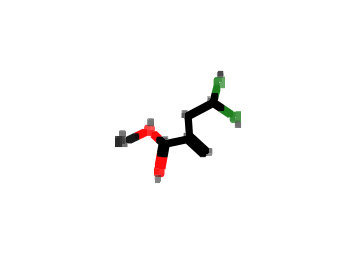 C=C(CC(Cl)Cl)C(=O)OC(C)C